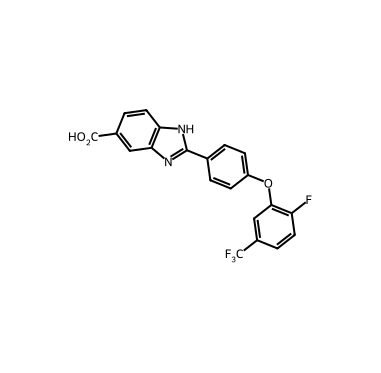 O=C(O)c1ccc2[nH]c(-c3ccc(Oc4cc(C(F)(F)F)ccc4F)cc3)nc2c1